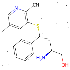 Cc1cnc(C#N)c(S[C@H](C[C@H](N)CO)c2ccccc2)c1